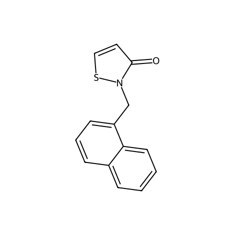 O=c1ccsn1Cc1cccc2ccccc12